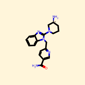 NC(=O)c1ccc(Cn2c(N3CCC[C@H](N)C3)nc3ccccc32)nc1